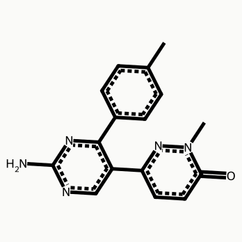 Cc1ccc(-c2nc(N)ncc2-c2ccc(=O)n(C)n2)cc1